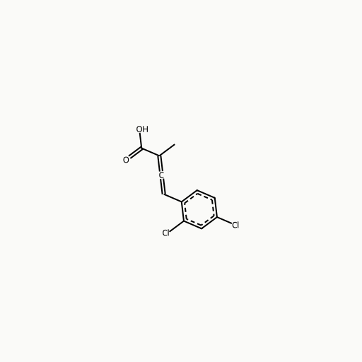 CC(=C=Cc1ccc(Cl)cc1Cl)C(=O)O